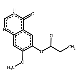 CCC(Cl)Oc1cc2c(=O)[nH]cnc2cc1OC